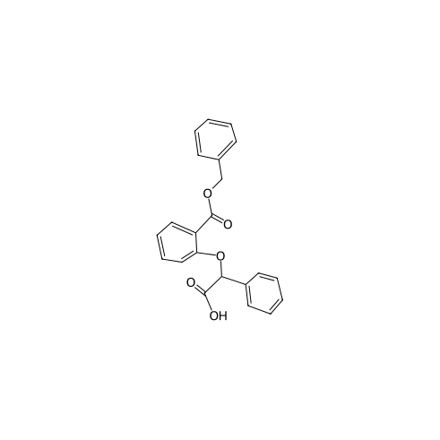 O=C(OCc1ccccc1)c1ccccc1OC(C(=O)O)c1ccccc1